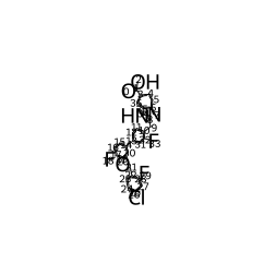 O=C(O)c1ccc2nc(Cc3ccc(-c4ccc(F)c(OCc5ccc(Cl)cc5F)c4)cc3F)[nH]c2c1